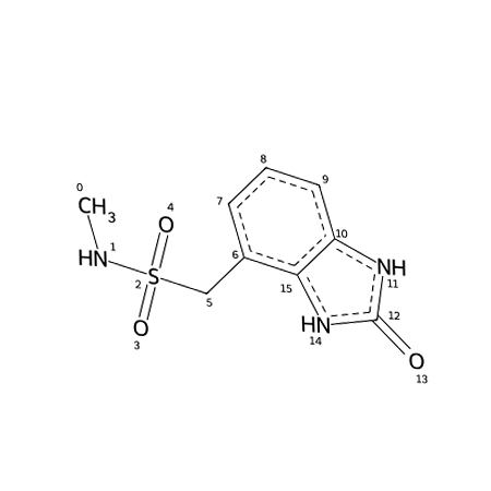 CNS(=O)(=O)Cc1cccc2[nH]c(=O)[nH]c12